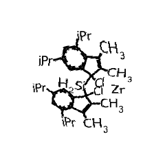 CC1=C(C)C(Cl)([SiH2]C2(Cl)C(C)=C(C)c3c(C(C)C)cc(C(C)C)cc32)c2cc(C(C)C)cc(C(C)C)c21.[Zr]